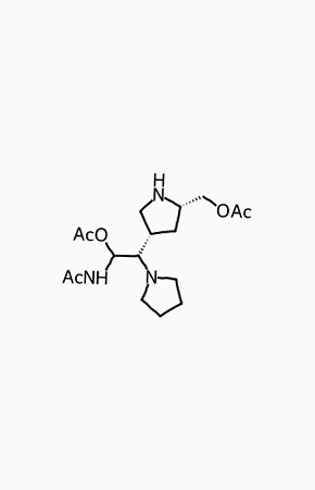 CC(=O)NC(OC(C)=O)C([C@@H]1CN[C@H](COC(C)=O)C1)N1CCCC1